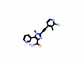 Cc1c(C#Cc2nc(C(N)=O)c(-c3cccnc3)n2C)ccnc1Cl